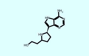 Nc1ncnc2c([C@H]3CCC(CCO)N3)c[nH]c12